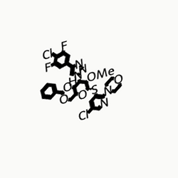 COC1C(n2cc(-c3cc(F)c(Cl)c(F)c3)nn2)[C@H]2OC(c3ccccc3)OCC2O[C@@H]1Sc1cc(Cl)cnc1N1CCOCC1